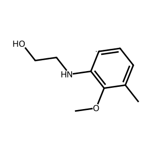 COc1c(NCCO)[c]ccc1C